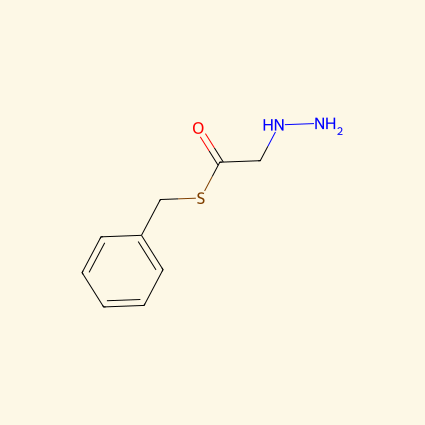 NNCC(=O)SCc1ccccc1